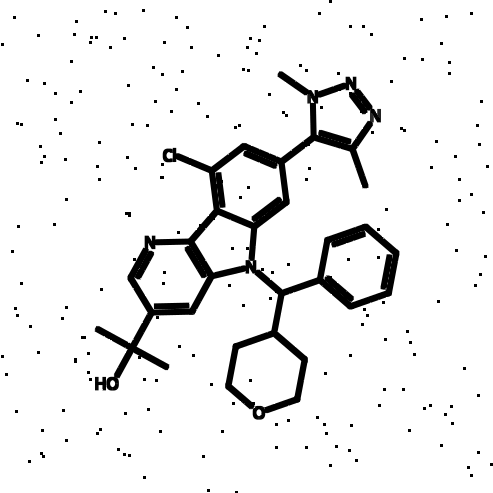 Cc1nnn(C)c1-c1cc(Cl)c2c3ncc(C(C)(C)O)cc3n(C(c3ccccc3)C3CCOCC3)c2c1